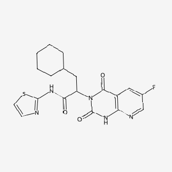 O=C(Nc1nccs1)C(CC1CCCCC1)n1c(=O)[nH]c2ncc(F)cc2c1=O